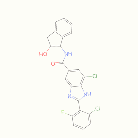 O=C(NC1c2ccccc2CC1O)c1cc(Cl)c2[nH]c(-c3c(F)cccc3Cl)nc2c1